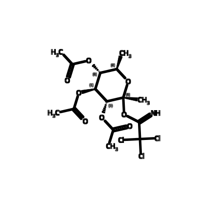 CC(=O)O[C@H]1[C@H](OC(C)=O)[C@@H](C)O[C@](C)(OC(=N)C(Cl)(Cl)Cl)[C@@H]1OC(C)=O